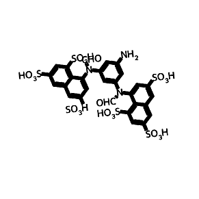 Nc1cc(N(C=O)c2cc(S(=O)(=O)O)cc3cc(S(=O)(=O)O)cc(S(=O)(=O)O)c23)cc(N(C=O)c2cc(S(=O)(=O)O)cc3cc(S(=O)(=O)O)cc(S(=O)(=O)O)c23)c1